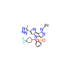 Cc1nnn(C)c1C1=CC2C(=C3C(=NCC(C)C)N=CC(S(C)(=O)=O)=C3N2C(c2ccccc2)C2CCC(F)(F)CC2)N=C1